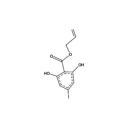 C=CCOC(=O)c1c(O)cc(C)cc1O